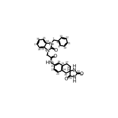 O=C(Cn1c(=O)n(Cc2ccccc2)c2ccccc21)Nc1ccc2c(c1)CCC1(C2)NC(=O)NC1=O